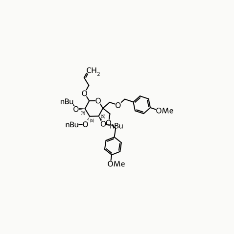 C=CCOC1OC(COCc2ccc(OC)cc2)(COCc2ccc(OC)cc2)[C@@H](OCCCC)[C@H](OCCCC)[C@H]1OCCCC